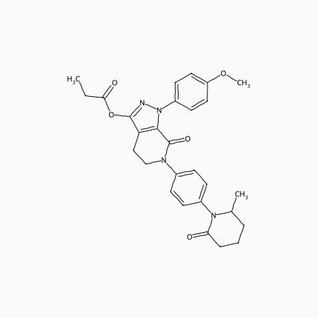 CCC(=O)Oc1nn(-c2ccc(OC)cc2)c2c1CCN(c1ccc(N3C(=O)CCCC3C)cc1)C2=O